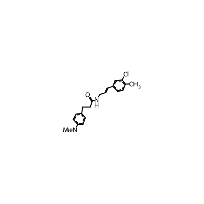 CNc1ccc(CCC(=O)NC/C=C/c2ccc(C)c(Cl)c2)cc1